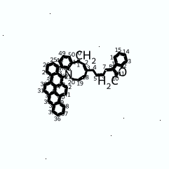 C=C1/C=C(C/C=C\C=c2/c(=C)oc3ccccc23)\C=C/CN(c2c3ccccc3c3ccc4cc5ccccc5c5ccc2c3c45)c2ccccc21